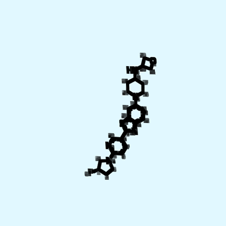 F[C@@H]1CCN(c2ccc(-c3nc4cnc(N5CCC(NC6COC6)CC5)cc4s3)cn2)C1